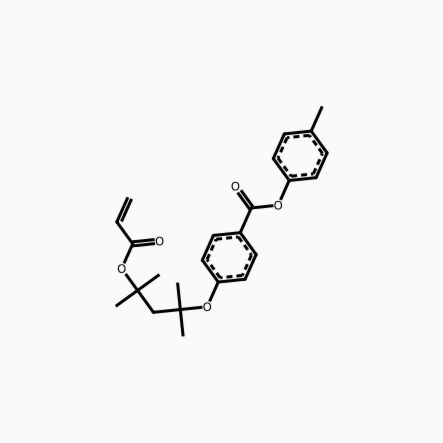 C=CC(=O)OC(C)(C)CC(C)(C)Oc1ccc(C(=O)Oc2ccc(C)cc2)cc1